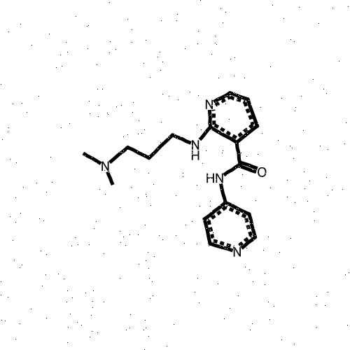 CN(C)CCCNc1ncccc1C(=O)Nc1ccncc1